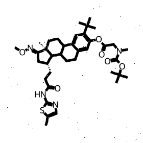 CON=C1C[C@@H](CCC(=O)Nc2ncc(C)s2)C2C3CCc4cc(OC(=O)CN(C)C(=O)OC(C)(C)C)c(C(C)(C)C)cc4C3CC[C@]12C